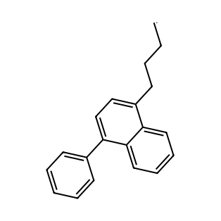 [CH2]CCCc1ccc(-c2ccccc2)c2ccccc12